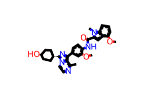 COc1cc(-c2nc([C@H]3CC[C@H](O)CC3)n3ccnc(C)c23)ccc1NC(=O)c1cc2c(OC)cccc2n1C